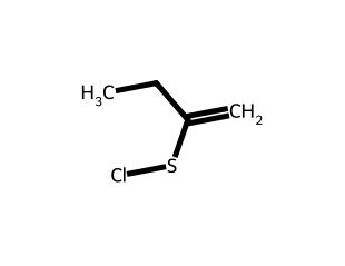 C=C(CC)SCl